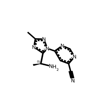 Cc1nc([C@H](C)N)n(-c2cc(C#N)ncn2)n1